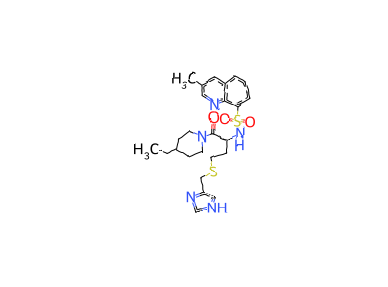 CCC1CCN(C(=O)C(CCSCc2c[nH]cn2)NS(=O)(=O)c2cccc3cc(C)cnc23)CC1